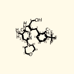 Cc1c(CC2=C(CO)NC3(C)C(N)=CC(N4CCOCC4)=NN23)cccc1C(F)(F)F